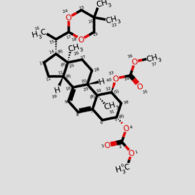 COC(=O)O[C@@H]1CC2=CC=C3[C@@H]4CC[C@H](C(C)C5OCC(C)(C)CO5)[C@@]4(C)CC[C@@H]3[C@@]2(C)[C@@H](OC(=O)OC)C1